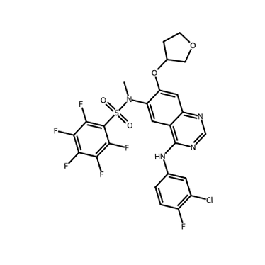 CN(c1cc2c(Nc3ccc(F)c(Cl)c3)ncnc2cc1OC1CCOC1)S(=O)(=O)c1c(F)c(F)c(F)c(F)c1F